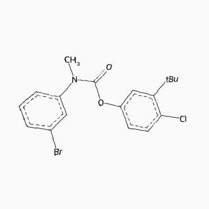 CN(C(=O)Oc1ccc(Cl)c(C(C)(C)C)c1)c1cccc(Br)c1